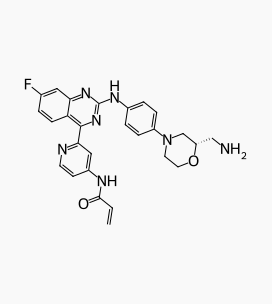 C=CC(=O)Nc1ccnc(-c2nc(Nc3ccc(N4CCO[C@@H](CN)C4)cc3)nc3cc(F)ccc23)c1